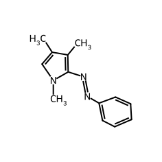 Cc1cn(C)c(N=Nc2ccccc2)c1C